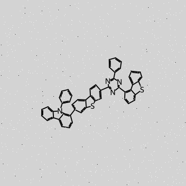 c1ccc(-c2nc(-c3ccc4c(c3)sc3cc(-c5cccc6c7ccccc7n(-c7ccccc7)c56)ccc34)nc(-c3cccc4sc5ccccc5c34)n2)cc1